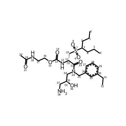 CCCC(CCC)S(=O)(=O)C[C@@H](NC(=O)OCCNC(C)=O)C(=O)N(Cc1cccc(CC)c1)C[C@@H](O)CN